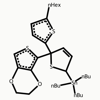 CCCCCCc1ccc(C2(c3scc4c3OCCO4)C=C[CH]([Sn]([CH2]CCC)([CH2]CCC)[CH2]CCC)S2)s1